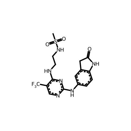 CS(=O)(=O)NCCNc1nc(Nc2ccc3c(c2)CC(=O)N3)ncc1C(F)(F)F